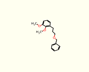 COc1cccc(CCCOCc2ccccc2)c1OC